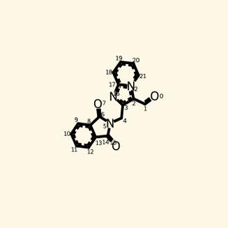 O=Cc1c(CN2C(=O)c3ccccc3C2=O)nc2ccccn12